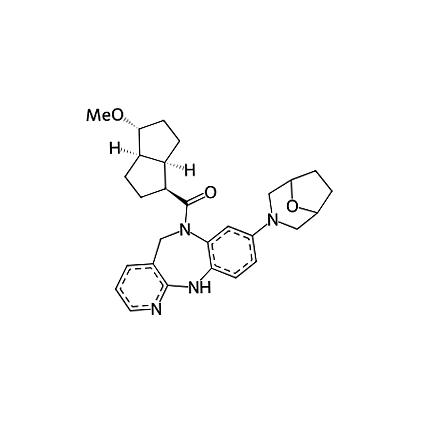 CO[C@@H]1CC[C@@H]2[C@H]1CC[C@@H]2C(=O)N1Cc2cccnc2Nc2ccc(N3CC4CCC(C3)O4)cc21